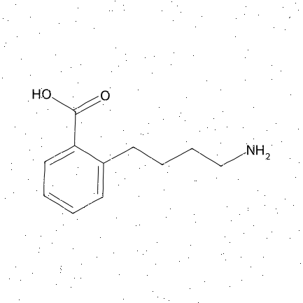 NCCCCc1ccccc1C(=O)O